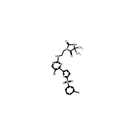 CC1(C)NC(=O)N(CCNc2ncc(Br)c(-c3ccc(S(=O)(=O)c4cccc(F)c4)s3)n2)C1=O